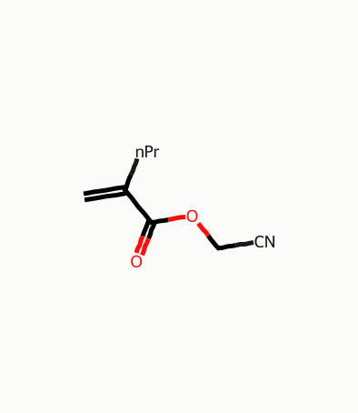 C=C(CCC)C(=O)OCC#N